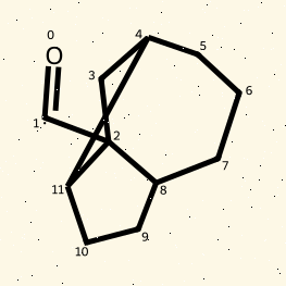 O=[C]C12CC3CCCC1CCC32